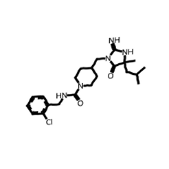 CC(C)CC1(C)NC(=N)N(CC2CCN(C(=O)NCc3ccccc3Cl)CC2)C1=O